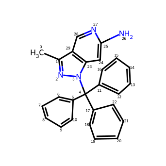 Cc1nn(C(c2ccccc2)(c2ccccc2)c2ccccc2)c2cc(N)ncc12